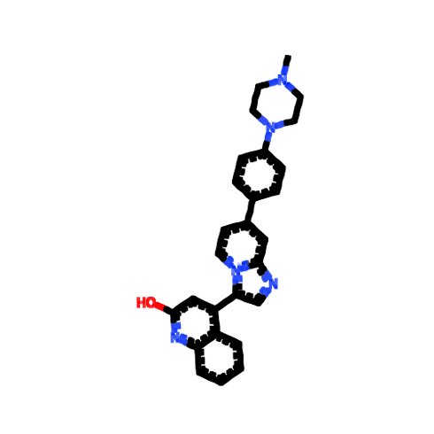 CN1CCN(c2ccc(-c3ccn4c(-c5cc(O)nc6ccccc56)cnc4c3)cc2)CC1